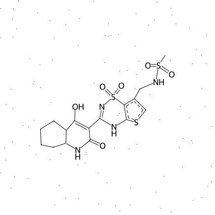 CS(=O)(=O)NCc1csc2c1S(=O)(=O)N=C(C1=C(O)C3CCCCC3NC1=O)N2